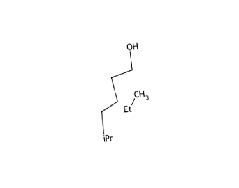 CC(C)CCCCO.CCC